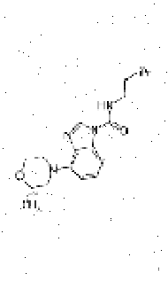 CC(C)CCNC(=O)n1cnc2c(N3CCO[C@@H](C)C3)cccc21